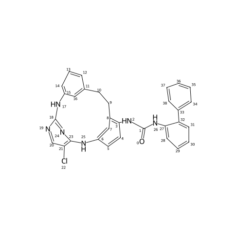 O=C(Nc1ccc2cc1CCc1cccc(c1)Nc1ncc(Cl)c(n1)N2)Nc1ccccc1-c1ccccc1